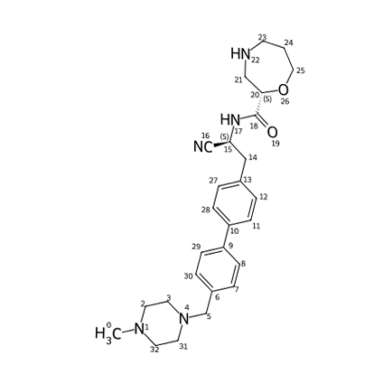 CN1CCN(Cc2ccc(-c3ccc(C[C@@H](C#N)NC(=O)[C@@H]4CNCCCO4)cc3)cc2)CC1